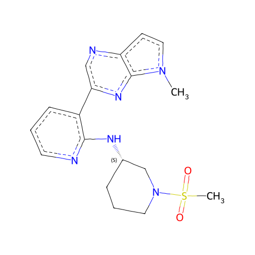 Cn1ccc2ncc(-c3cccnc3N[C@H]3CCCN(S(C)(=O)=O)C3)nc21